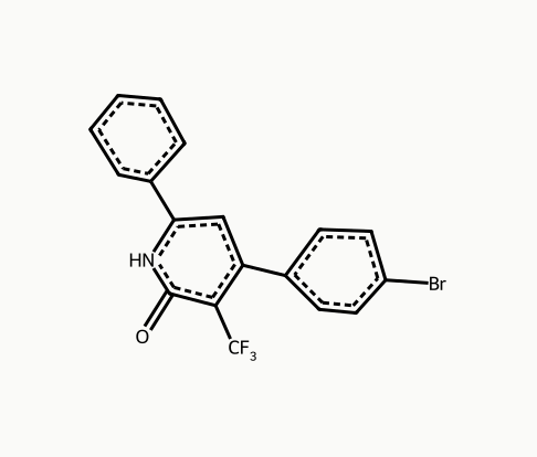 O=c1[nH]c(-c2ccccc2)cc(-c2ccc(Br)cc2)c1C(F)(F)F